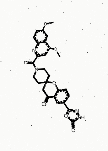 COc1ccc2nc(C(=O)N3CCC4(CC3)CC(=O)c3cc(-c5n[nH]c(=O)o5)ccc3O4)cc(OC)c2c1